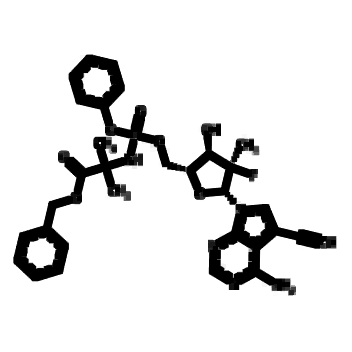 C#Cc1cn([C@@H]2O[C@H](COP(=O)(NC(C)(C)C(=O)OCc3ccccc3)Oc3ccccc3)[C@@H](O)[C@@]2(C)F)c2ncnc(N)c12